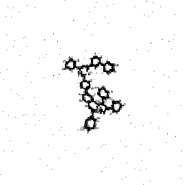 c1ccc(-c2cccc(-c3cc(-c4ccccc4)nc(-c4ccc(-c5ccc6cc(-c7ccccc7)n7nc(-c8ccccc8)c(-c8ccccc8)c7c6c5)cc4)n3)c2)cc1